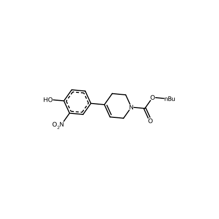 CCCCOC(=O)N1CC=C(c2ccc(O)c([N+](=O)[O-])c2)CC1